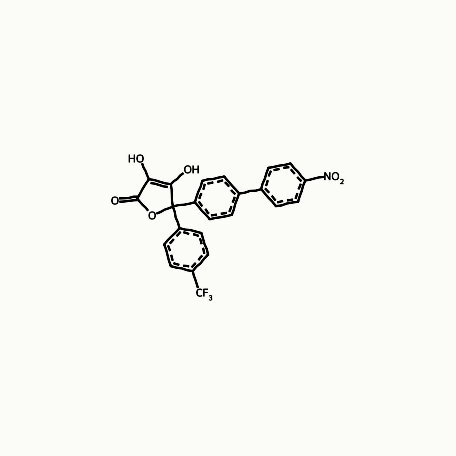 O=C1OC(c2ccc(-c3ccc([N+](=O)[O-])cc3)cc2)(c2ccc(C(F)(F)F)cc2)C(O)=C1O